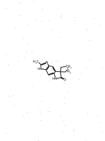 CCC1(CC)C(=O)Nc2cc3[nH]c(C)nc3cc21